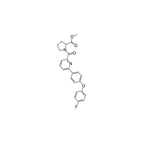 COC(=O)C1CCCN1C(=O)c1cccc(-c2ccc(Oc3ccc(F)cc3)cc2)n1